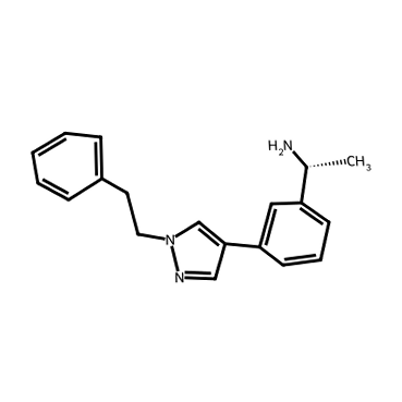 C[C@@H](N)c1cccc(-c2cnn(CCc3ccccc3)c2)c1